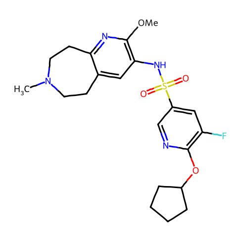 COc1nc2c(cc1NS(=O)(=O)c1cnc(OC3CCCC3)c(F)c1)CCN(C)CC2